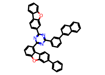 c1ccc(-c2ccc3c(c2)oc2cccc(-c4nc(-c5cccc(-c6ccc7ccccc7c6)c5)nc(-c5ccc6c(c5)oc5ccccc56)n4)c23)cc1